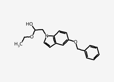 CCOC(O)Cn1ccc2cc(OCc3ccccc3)ccc21